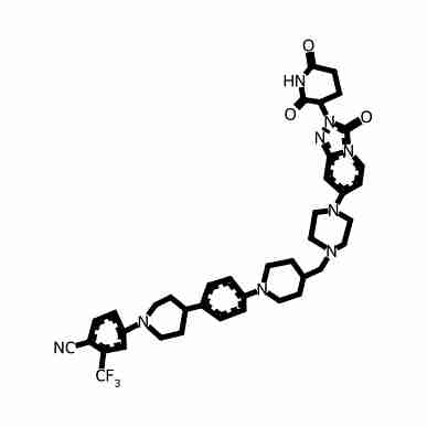 N#Cc1ccc(N2CCC(c3ccc(N4CCC(CN5CCN(c6ccn7c(=O)n(C8CCC(=O)NC8=O)nc7c6)CC5)CC4)cc3)CC2)cc1C(F)(F)F